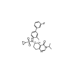 CC(C)n1cnc2c(c1=O)[C@@H](Cc1cccc(-c3cccc(F)c3)c1)[C@@H](NS(=O)(=O)C1CC1)CC2